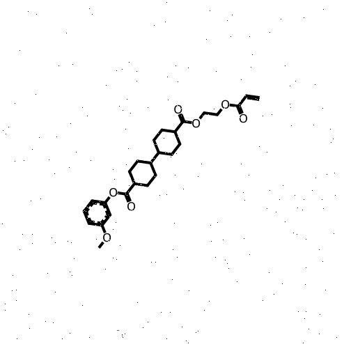 C=CC(=O)OCCOC(=O)C1CCC(C2CCC(C(=O)Oc3cccc(OC)c3)CC2)CC1